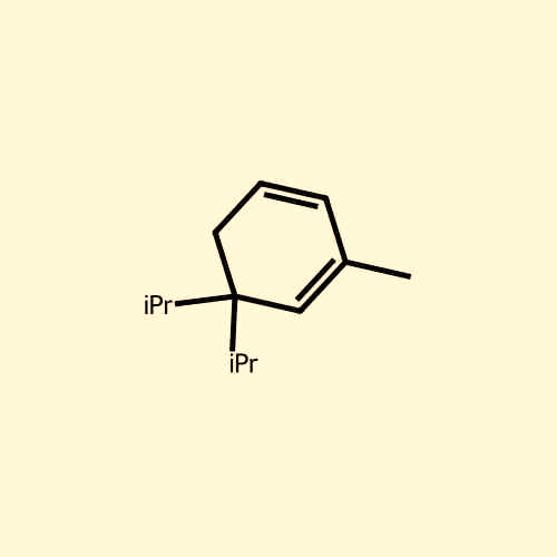 CC1=CC(C(C)C)(C(C)C)CC=C1